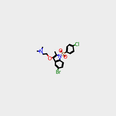 Cc1c(OCCN(C)C)c2cc(Br)ccc2n1S(=O)(=O)c1ccc(Cl)cc1